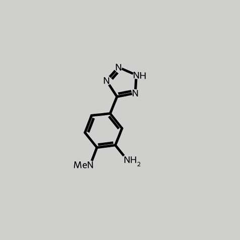 CNc1ccc(-c2nn[nH]n2)cc1N